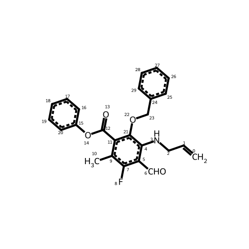 C=CCNc1c(C=O)c(F)c(C)c(C(=O)Oc2ccccc2)c1OCc1ccccc1